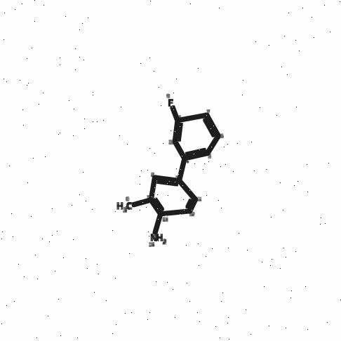 Cc1cc(-c2cccc(F)c2)ccc1N